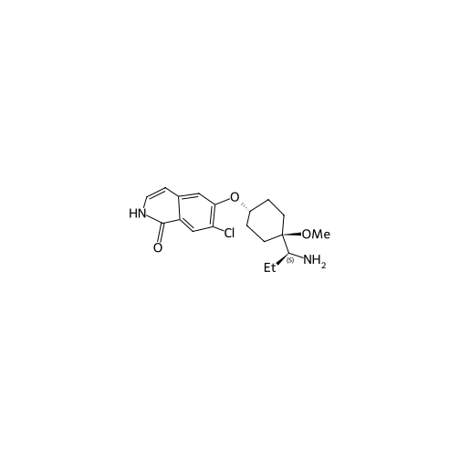 CC[C@H](N)[C@]1(OC)CC[C@H](Oc2cc3cc[nH]c(=O)c3cc2Cl)CC1